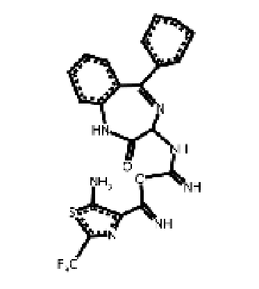 N=C(NC1N=C(c2ccccc2)c2ccccc2NC1=O)OC(=N)c1nc(C(F)(F)F)sc1N